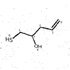 C=CCC(O)CS